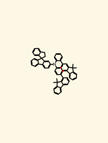 CC1(C)c2ccccc2-c2ccc(-c3ccccc3N(c3ccc(-c4cccc5c4C(C)(C)c4ccccc4-5)cc3)c3ccc4c(c3)C3(CCc5ccccc53)c3ccccc3-4)cc21